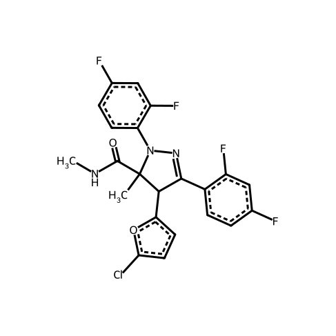 CNC(=O)C1(C)C(c2ccc(Cl)o2)C(c2ccc(F)cc2F)=NN1c1ccc(F)cc1F